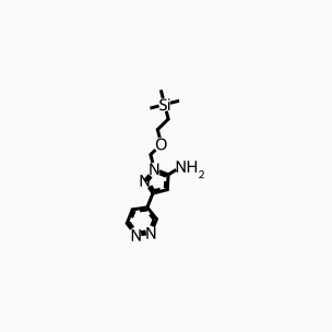 C[Si](C)(C)CCOCn1nc(-c2ccnnc2)cc1N